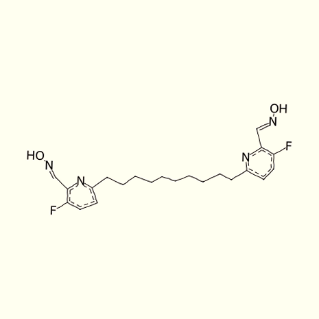 ON=Cc1nc(CCCCCCCCCCc2ccc(F)c(/C=N/O)n2)ccc1F